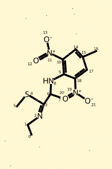 CCN=C(SC)C(C)Nc1c([N+](=O)[O-])cc(C)cc1[N+](=O)[O-]